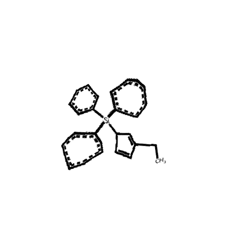 CCC1=C[C]([Si](c2ccccc2)(c2ccccc2)c2ccccc2)C=C1